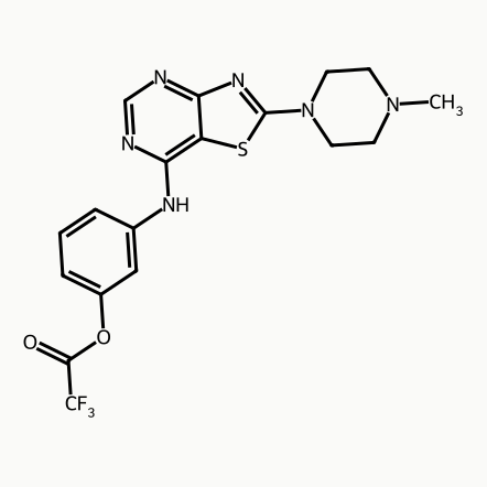 CN1CCN(c2nc3ncnc(Nc4cccc(OC(=O)C(F)(F)F)c4)c3s2)CC1